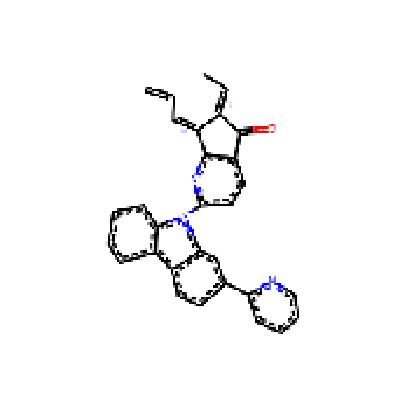 C=C/C=C1\C(=C/C)C(=O)c2ccc(-n3c4ccccc4c4ccc(-c5ccccn5)cc43)nc21